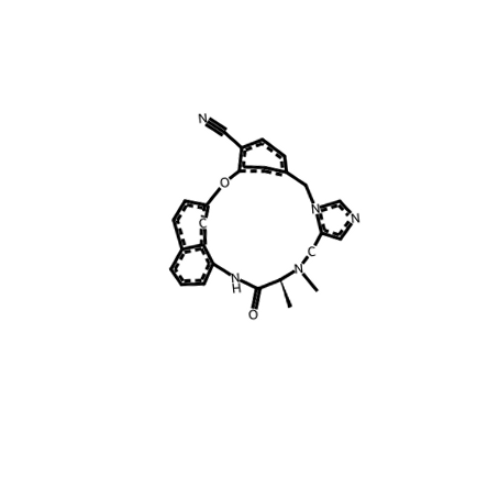 C[C@H]1C(=O)Nc2cccc3ccc(cc23)Oc2cc(ccc2C#N)Cn2cncc2CN1C